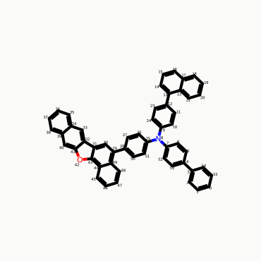 c1ccc(-c2ccc(N(c3ccc(-c4cccc5ccccc45)cc3)c3ccc(-c4cc5c6cc7ccccc7cc6oc5c5ccccc45)cc3)cc2)cc1